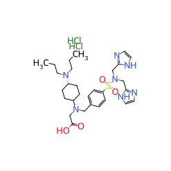 CCCN(CCC)[C@H]1CC[C@H](N(CC(=O)O)Cc2ccc(S(=O)(=O)N(Cc3ncc[nH]3)Cc3ncc[nH]3)cc2)CC1.Cl.Cl